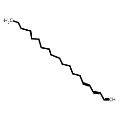 [CH]=CC=CC=CCCCCCCCCCCCCC[CH2]